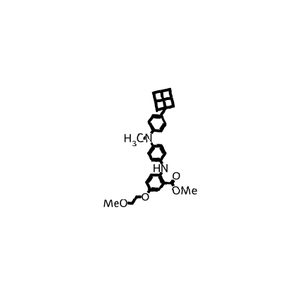 COCCOc1ccc(Nc2ccc(N(C)c3ccc(C45CC6CC7CC(C4)C765)cc3)cc2)c(C(=O)OC)c1